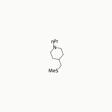 CCCN1CCC(CSC)CC1